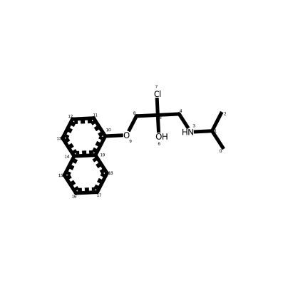 CC(C)NCC(O)(Cl)COc1cccc2ccccc12